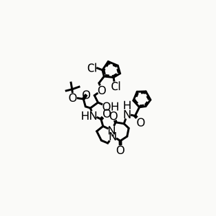 CC(C)(C)OC(=O)CC(NC(=O)C1CCCN2C(=O)CCC(NC(=O)c3ccccc3)C(=O)N12)C(O)COCc1c(Cl)cccc1Cl